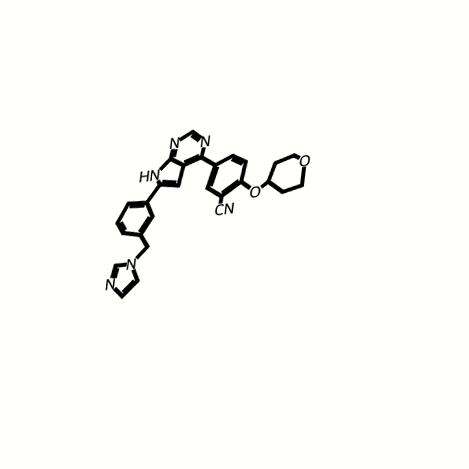 N#Cc1cc(-c2ncnc3[nH]c(-c4cccc(Cn5ccnc5)c4)cc23)ccc1OC1CCOCC1